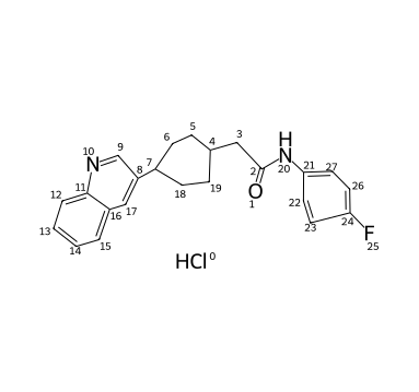 Cl.O=C(CC1CCC(c2cnc3ccccc3c2)CC1)Nc1ccc(F)cc1